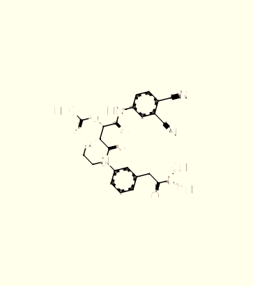 CC(=O)O[C@@H](C(=O)Nc1ccc(C#N)c(C#N)c1)[C@H]1OCCN(c2cccc(CC(=O)N(C)C)c2)C1=O